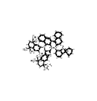 Cc1cc2c(cc1N1c3c4c(cc5ccccc35)-c3c(ccc5ccccc35)N(c3cccc5c3oc3ccccc35)B4c3sc4cc5c(cc4c31)C(C)(C)CCC5(C)C)C(C)(C)CCC2(C)C